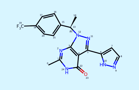 Cc1nc2c(c(-c3ccn[nH]3)nn2[C@H](C)c2ccc(C(F)(F)F)cc2)c(=O)[nH]1